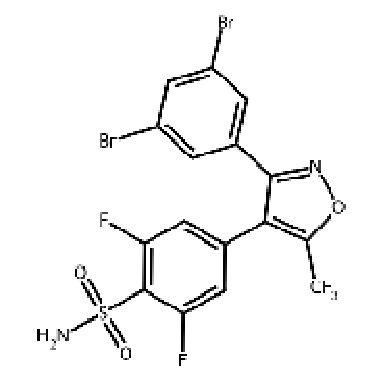 NS(=O)(=O)c1c(F)cc(-c2c(-c3cc(Br)cc(Br)c3)noc2C(F)(F)F)cc1F